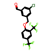 O=Cc1cc(Cl)cc(COc2ccc(C(F)(F)F)cc2C(F)(F)F)c1